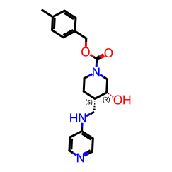 Cc1ccc(COC(=O)N2CC[C@@H](CNc3ccncc3)[C@@H](O)C2)cc1